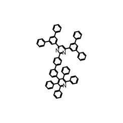 c1ccc(-c2cc(-c3ccccc3)cc(-c3cc(-c4cc(-c5ccccc5)cc(-c5ccccc5)c4)nc(-c4ccc(-c5cccc(-c6c(-c7ccccc7)c(-c7ccccc7)nc(-c7ccccc7)c6-c6ccccc6)c5)cc4)n3)c2)cc1